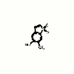 Cc1cc2c(cc1C(C)(C)C)C=CS2(=O)=O